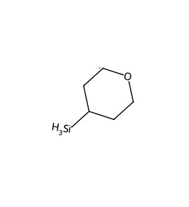 [SiH3]C1C[CH]OCC1